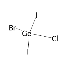 [Cl][Ge]([Br])([I])[I]